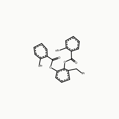 CCCc1ccccc1C(=O)Oc1cccc(CC(C)C)c1OC(=O)c1ccccc1CCC